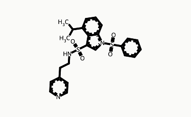 CC(C)c1cccc2c1c(S(=O)(=O)NCCc1ccncc1)cn2S(=O)(=O)c1ccccc1